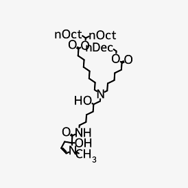 CCCCCCCCCCCOC(=O)CCCCCN(CCCCCCCC(=O)OC(CCCCCCCC)CCCCCCCC)CC(O)CCCCNC(=O)C1(O)CC=CN1C